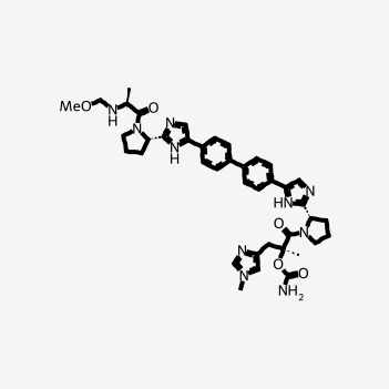 COCN[C@@H](C)C(=O)N1CCC[C@H]1c1ncc(-c2ccc(-c3ccc(-c4cnc([C@@H]5CCCN5C(=O)[C@](C)(Cc5cn(C)cn5)OC(N)=O)[nH]4)cc3)cc2)[nH]1